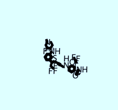 CN1CC[C@H](Nc2cccc3c(CC(F)(F)F)c(C#CCNc4ccc(S(C)(=N)=O)cc4OC(F)(F)F)sc23)[C@@H](F)C1